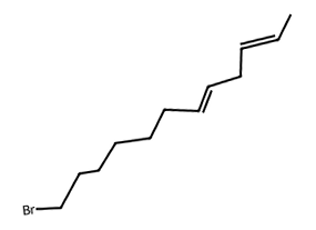 CC=CCC=CCCCCCCBr